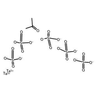 CC(C)=O.O=S(=O)([O-])[O-].O=S(=O)([O-])[O-].O=S(=O)([O-])[O-].O=S(=O)([O-])[O-].O=S(=O)([O-])[O-].[Ta+5].[Ta+5]